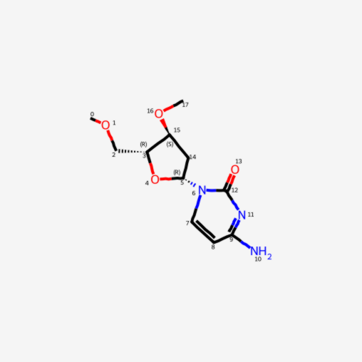 COC[C@H]1O[C@@H](n2ccc(N)nc2=O)C[C@@H]1OC